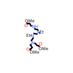 CCN(CCNCCC(=O)OC)CCN(CC)CCN(CCC(=O)OC)CCC(=O)OC